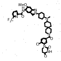 COc1cc2nn(C3CCC(N(C)C4CCC5(CC4)CCN(C(=O)c4ccc(Cl)c(N6CCC(=O)NC6=O)c4)CC5)CC3)cc2cc1NC(=O)c1cccc(C(F)(F)F)n1